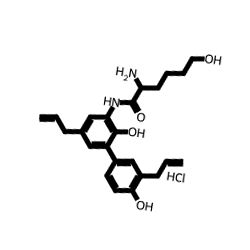 C=CCc1cc(NC(=O)C(N)CCCCO)c(O)c(-c2ccc(O)c(CC=C)c2)c1.Cl